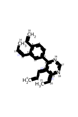 C=C/C=c1/c(-c2ccc(C=C)c(/C=C\C)c2)ncn/c1=C/C